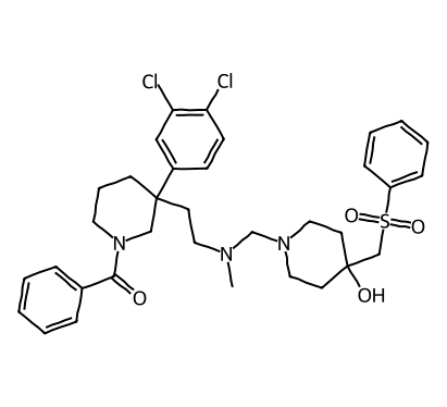 CN(CCC1(c2ccc(Cl)c(Cl)c2)CCCN(C(=O)c2ccccc2)C1)CN1CCC(O)(CS(=O)(=O)c2ccccc2)CC1